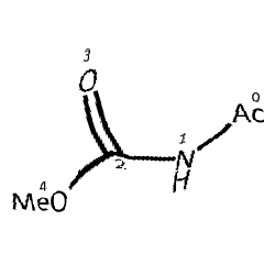 [CH2]C(=O)NC(=O)OC